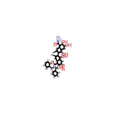 Cc1cc2c(C(N)=O)c(O)c(O)cc2c(O)c1-c1c(C)cc2c(C(=O)N(Cc3ccccc3)Cc3ccccc3)c(O)c(O)cc2c1O